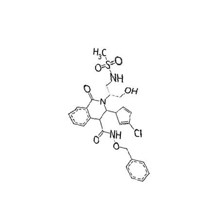 CS(=O)(=O)NC[C@H](CO)N1C(=O)c2ccccc2C(C(=O)NOCc2ccccc2)C1C1C=CC(Cl)=C1